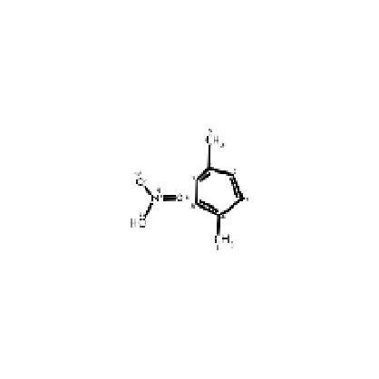 Cc1ccc(C)cc1.O=[N+]([O-])O